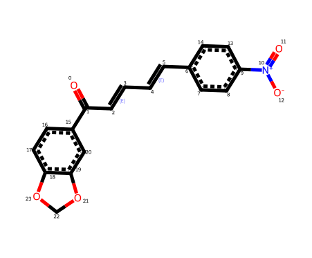 O=C(/C=C/C=C/c1ccc([N+](=O)[O-])cc1)c1ccc2c(c1)OCO2